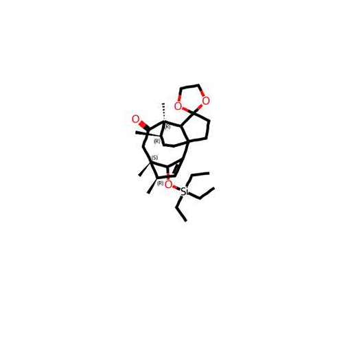 CC[Si](CC)(CC)OC1C2=C[C@@H](C)[C@]1(C)CC(=O)[C@@]1(C)C3C4(CCC23CC[C@H]1C)OCCO4